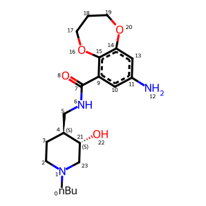 CCCCN1CC[C@@H](CNC(=O)c2cc(N)cc3c2OCCCO3)[C@H](O)C1